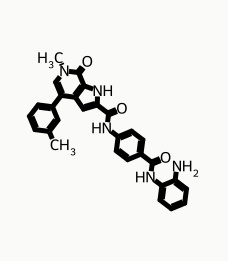 Cc1cccc(-c2cn(C)c(=O)c3[nH]c(C(=O)Nc4ccc(C(=O)Nc5ccccc5N)cc4)cc23)c1